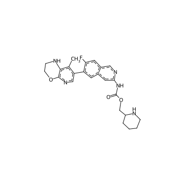 Cc1c(-c2cc3cc(NC(=O)OCC4CCCCN4)ncc3cc2F)cnc2c1NCCO2